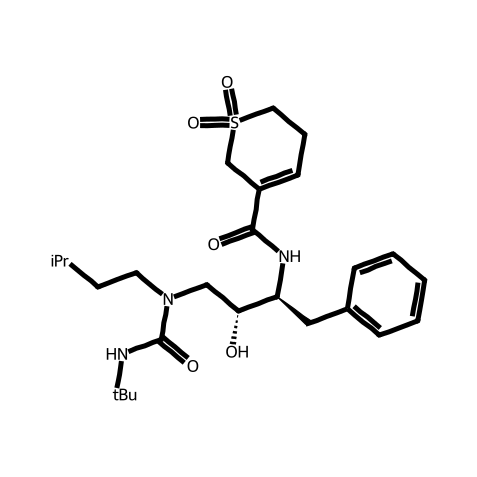 CC(C)CCN(C[C@@H](O)[C@H](Cc1ccccc1)NC(=O)C1=CCCS(=O)(=O)C1)C(=O)NC(C)(C)C